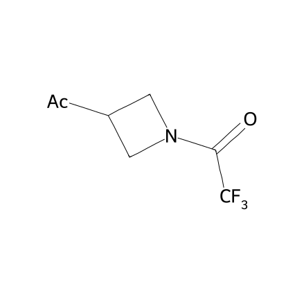 CC(=O)C1CN(C(=O)C(F)(F)F)C1